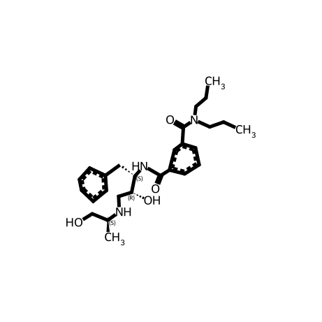 CCCN(CCC)C(=O)c1cccc(C(=O)N[C@@H](Cc2ccccc2)[C@H](O)CN[C@@H](C)CO)c1